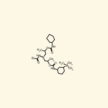 CCC(=O)NN(CC(C)OC(=O)NC1CCCCC1)CC(C)OC(=O)NC1CCC[CH]([Sn]([CH3])([CH3])[CH3])C1